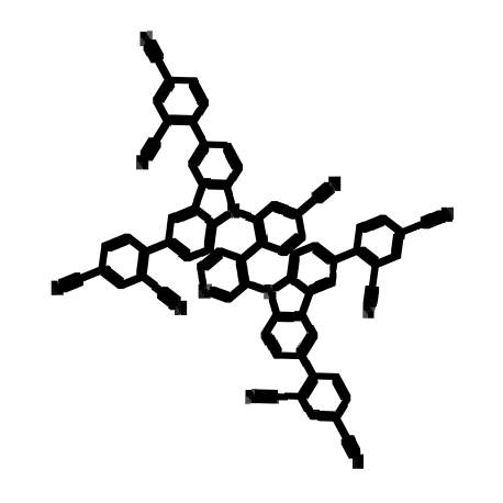 N#Cc1ccc(-c2ccc3c(c2)c2cc(-c4ccc(C#N)cc4C#N)ccc2n3-c2cnccc2-c2ccc(C#N)cc2-n2c3ccc(-c4ccc(C#N)cc4C#N)cc3c3cc(-c4ccc(C#N)cc4C#N)ccc32)c(C#N)c1